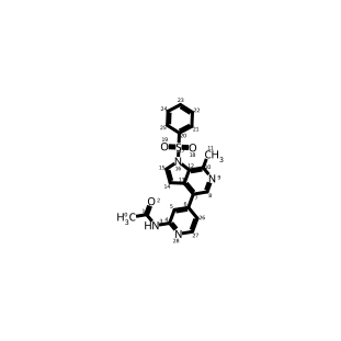 CC(=O)Nc1cc(-c2cnc(C)c3c2ccn3S(=O)(=O)c2ccccc2)ccn1